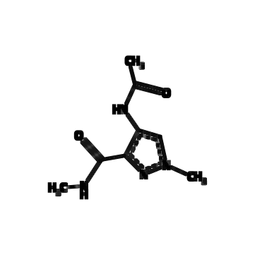 CNC(=O)c1nn(C)cc1NC(C)=O